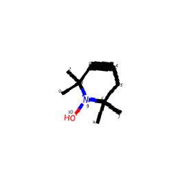 CC1(C)C#CCC(C)(C)N1O